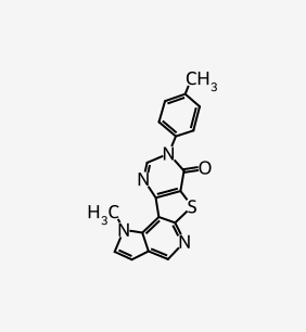 Cc1ccc(-n2cnc3c(sc4ncc5ccn(C)c5c43)c2=O)cc1